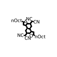 CCCCCCCCc1cc2c(o1)c(=C(C#N)C#N)cc1c3cc(CCCCCCCC)sc3c(=C(C#N)C#N)cc21